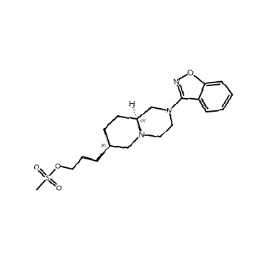 CS(=O)(=O)OCCC[C@H]1CC[C@H]2CN(c3noc4ccccc34)CCN2C1